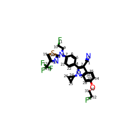 N#Cc1c(-c2ccc(N(CCF)c3nc(C(F)(F)F)cs3)cc2)n(C2CC2)c2cc(OCCF)ccc12